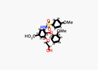 COc1ccc(S(=O)(=O)Nc2cc(C(=O)O)cc(OCCO)c2Oc2ccccc2OC)cc1